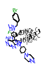 CN1CCN([C@H]2CC[C@@H](n3nc(-c4ccc(NCc5ccc(Br)cc5)c(F)c4)c4c(N)ncnc43)CC2)CC1.O=C(O)/C=C\C(=O)O.O=C(O)/C=C\C(=O)O.O=C(O)/C=C\C(=O)O